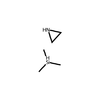 C1CN1.C[SiH](C)C